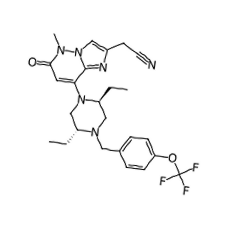 CC[C@@H]1CN(c2cc(=O)n(C)n3cc(CC#N)nc23)[C@@H](CC)CN1Cc1ccc(OC(F)(F)F)cc1